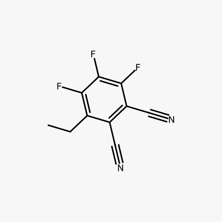 CCc1c(F)c(F)c(F)c(C#N)c1C#N